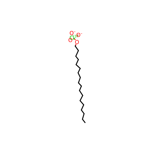 CCCCCCCCCCCCCCCCCCO[Cl+3]([O-])([O-])[O-]